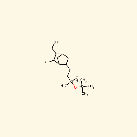 CCCC1C(CC(C)C)C2CC(CC[Si](C)(C)O[Si](C)(C)C)C1C2